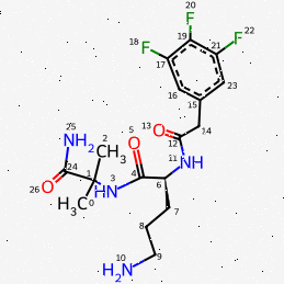 CC(C)(NC(=O)[C@H](CCCN)NC(=O)Cc1cc(F)c(F)c(F)c1)C(N)=O